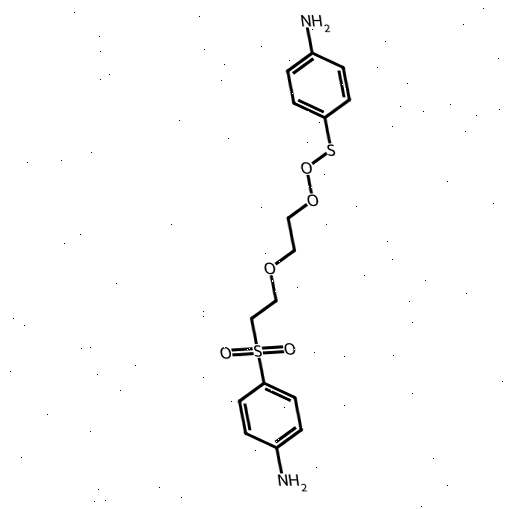 Nc1ccc(SOOCCOCCS(=O)(=O)c2ccc(N)cc2)cc1